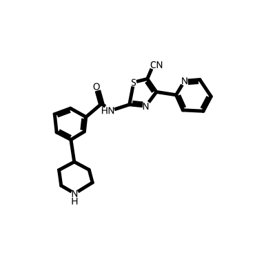 N#Cc1sc(NC(=O)c2cccc(C3CCNCC3)c2)nc1-c1ccccn1